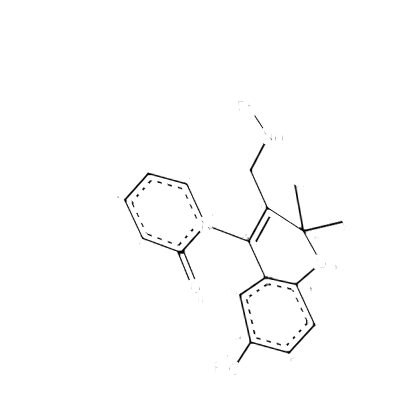 CCNCC1=C(n2ccccc2=O)c2cc(C(F)(F)F)ccc2OC1(C)C